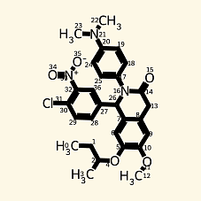 CCC(C)Oc1cc2c(cc1OC)CC(=O)N(c1ccc(N(C)C)cc1)C2c1ccc(Cl)c([N+](=O)[O-])c1